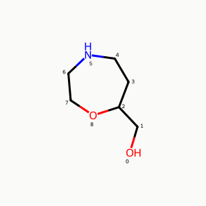 OCC1CCNCCO1